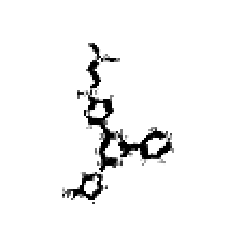 CN(C)CCNc1ccc(-c2cc(N3CCC(O)C3)nc(-c3cccnc3)n2)cn1